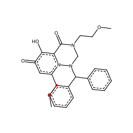 COCCN1CN(C(c2ccccc2)c2ccccc2)n2c(COC)cc(=O)c(O)c2C1=O